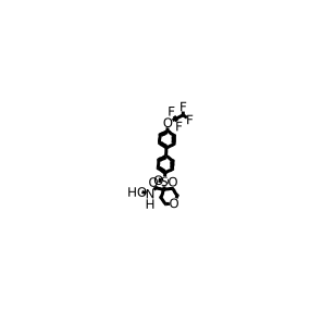 O=C(NO)C1(S(=O)(=O)c2ccc(-c3ccc(OC(F)(F)C(F)F)cc3)cc2)CCOCC1